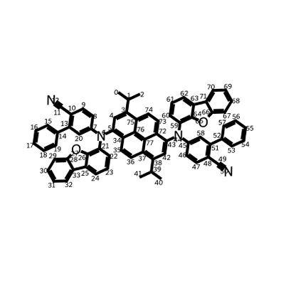 CC(C)c1cc(N(c2ccc(C#N)c(-c3ccccc3)c2)c2cccc3c2oc2ccccc23)c2ccc3c(C(C)C)cc(N(c4ccc(C#N)c(-c5ccccc5)c4)c4cccc5c4oc4ccccc45)c4ccc1c2c34